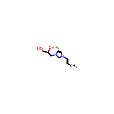 CC=CN1C=CN(CC(O)CO)C1.Cl